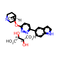 O=C(O)[C@H](O)[C@@H](O)C(=O)O.c1cc2cc(-c3ccc(O[C@H]4CN5CCC4CC5)nn3)ccc2[nH]1